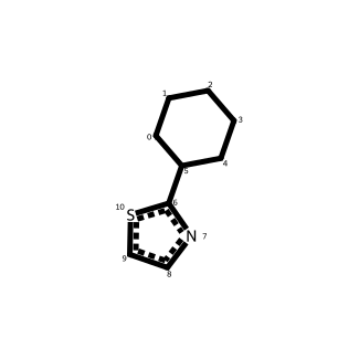 [CH]1CCCCC1c1nccs1